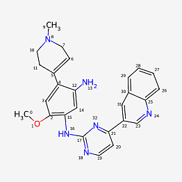 COc1cc(C2=CCN(C)CC2)c(N)cc1Nc1nccc(-c2cnc3ccccc3c2)n1